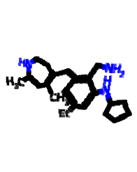 CCc1cc(CC2=C(C)C=C(C)NCC2)c(CN)c(NC2CCCC2)c1